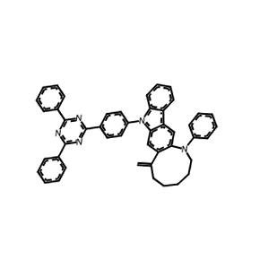 C=C1CCCCCN(c2ccccc2)c2cc3c4ccccc4n(-c4ccc(-c5nc(-c6ccccc6)nc(-c6ccccc6)n5)cc4)c3cc21